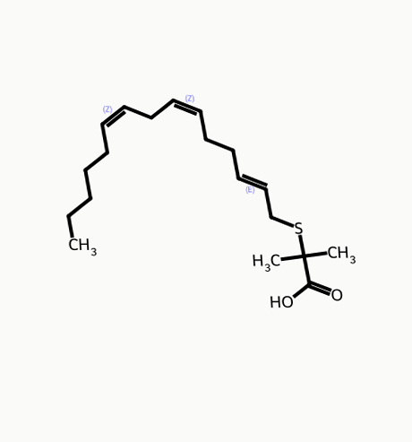 CCCCC/C=C\C/C=C\CC/C=C/CSC(C)(C)C(=O)O